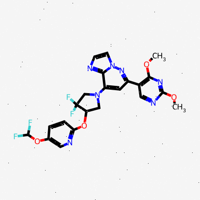 COc1ncc(-c2cc(N3CC(Oc4ccc(OC(F)F)cn4)C(F)(F)C3)c3nccn3n2)c(OC)n1